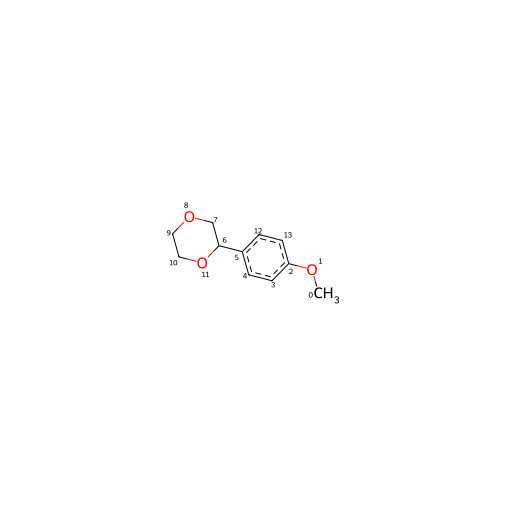 COc1ccc(C2COCCO2)cc1